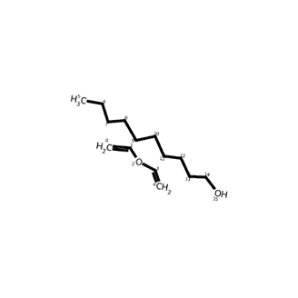 C=COC=C.CCCCCCCCCCO